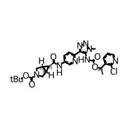 C[C@@H](OC(=O)Nc1c(-c2ccc(NC(=O)[C@H]3[C@@H]4CN(C(=O)OC(C)(C)C)C[C@@H]43)cn2)nnn1C)c1cccnc1Cl